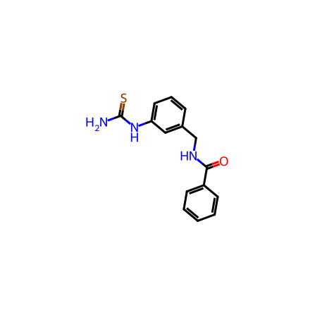 NC(=S)Nc1cccc(CNC(=O)c2ccccc2)c1